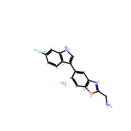 Cl.NCc1nc2cc(-c3c[nH]c4cc(F)ccc34)ccc2o1